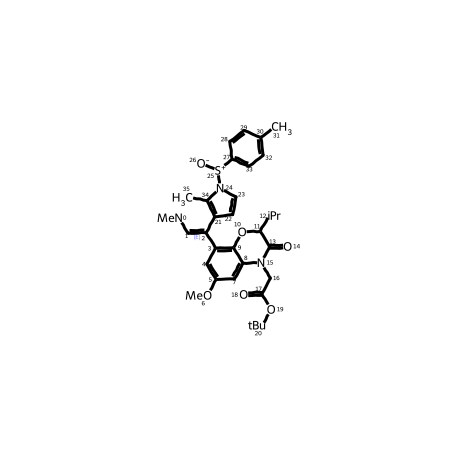 CN/C=C(/c1cc(OC)cc2c1OC(C(C)C)C(=O)N2CC(=O)OC(C)(C)C)c1ccn([S+]([O-])c2ccc(C)cc2)c1C